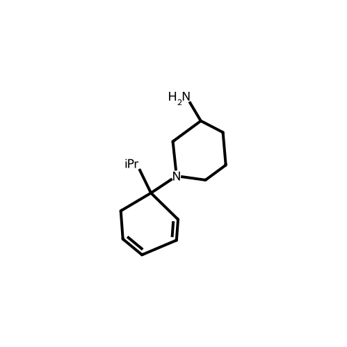 CC(C)C1(N2CCCC(N)C2)C=CC=CC1